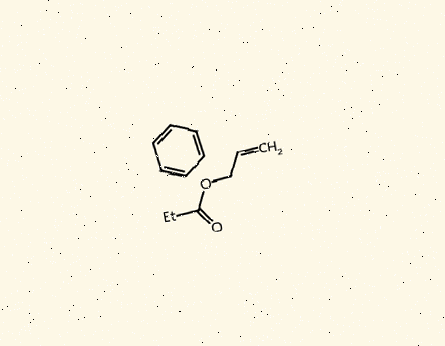 C=CCOC(=O)CC.c1ccccc1